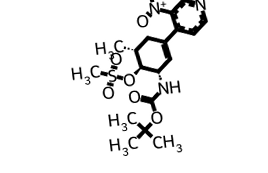 C[C@@H]1CC(c2ccncc2[N+](=O)[O-])=C[C@H](NC(=O)OC(C)(C)C)[C@H]1OS(C)(=O)=O